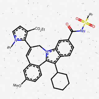 CCOC(=O)c1ccn(C(C)C)c1C1=Cc2cc(OC)ccc2-c2c(C3CCCCC3)c3ccc(C(=O)NS(=O)(=O)C(C)C)cc3n2C1